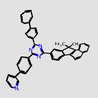 CC1(C)c2cc(-c3nc(-c4ccc(-c5ccccc5)cc4)nc(-c4ccc(-c5cccnc5)cc4)n3)ccc2-c2ccc3ccccc3c21